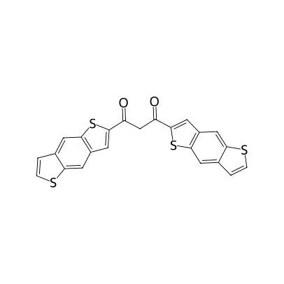 O=C(CC(=O)c1cc2cc3sccc3cc2s1)c1cc2cc3sccc3cc2s1